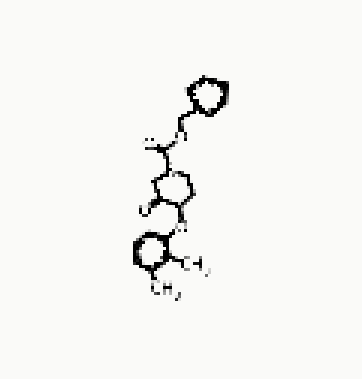 Cc1cccc(OC2CCN(C(=O)OCc3ccccc3)CC2=O)c1C